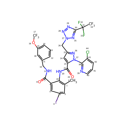 Cc1cc(I)cc(C(=O)NCc2cccc(OC(F)(F)F)c2)c1NC(=O)c1cc(Cn2nnc(C(F)(F)C(F)(F)F)n2)nn1-c1ncccc1Cl